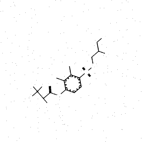 Cc1c(S(=O)(=O)NCC(O)CO)ccc(NC(=O)[C@@](C)(O)C(F)(F)F)c1Cl